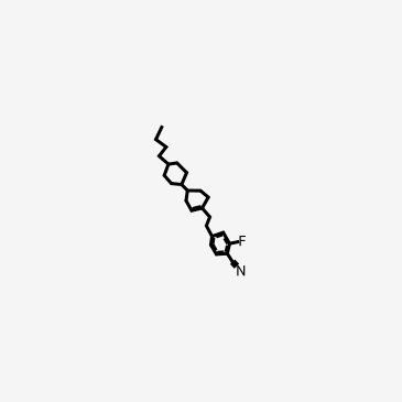 CCCCC1CCC(C2CC=C(CCc3ccc(C#N)c(F)c3)CC2)CC1